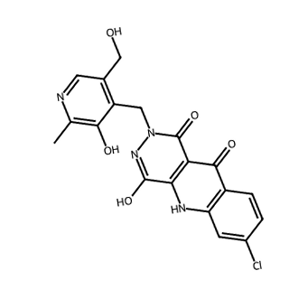 Cc1ncc(CO)c(Cn2nc(O)c3[nH]c4cc(Cl)ccc4c(=O)c3c2=O)c1O